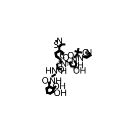 Cc1ncsc1-c1ccc([C@H](CC(=O)NCCNC(=O)c2cccc(O)c2O)NC(=O)[C@@H]2C[C@@H](O)CN2C(=O)[C@@H](Nc2ccno2)C(C)(C)C)cc1